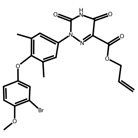 C=CCOC(=O)c1nn(-c2cc(C)c(Oc3ccc(OC)c(Br)c3)c(C)c2)c(=O)[nH]c1=O